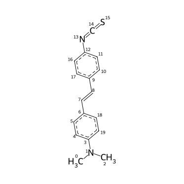 CN(C)c1ccc(C=Cc2ccc(N=C=S)cc2)cc1